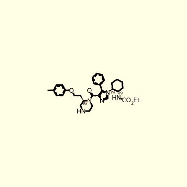 CCOC(=O)N[C@H]1CCCC[C@@H]1n1cnc(C(=O)N2CCNC[C@H]2CCOc2ccc(C)cc2)c1-c1ccccc1